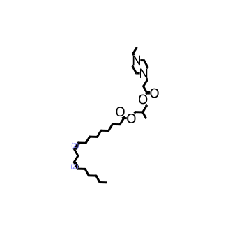 CCCCC/C=C\C/C=C\CCCCCCCC(=O)OCC(C)COC(=O)CCN1CCN(CC)CC1